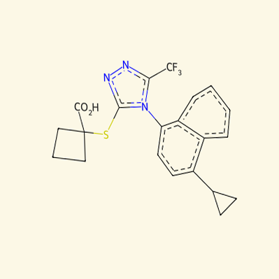 O=C(O)C1(Sc2nnc(C(F)(F)F)n2-c2ccc(C3CC3)c3ccccc23)CCC1